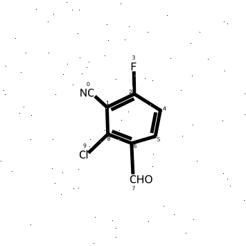 N#Cc1c(F)ccc(C=O)c1Cl